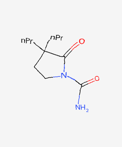 CCCC1(CCC)CCN(C(N)=O)C1=O